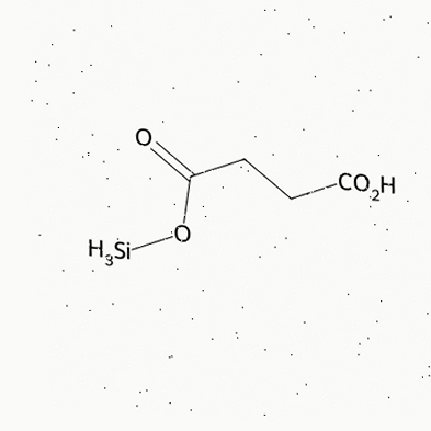 O=C(O)CCC(=O)O[SiH3]